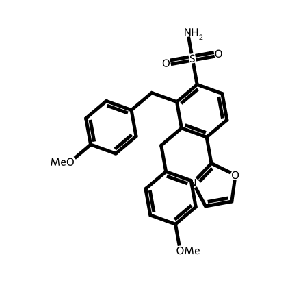 COc1ccc(Cc2c(-c3ncco3)ccc(S(N)(=O)=O)c2Cc2ccc(OC)cc2)cc1